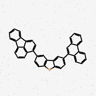 c1ccc2c(c1)-c1cccc3c(-c4ccc5sc6ccc(-c7cc8ccccc8c8ccccc78)cc6c5c4)ccc-2c13